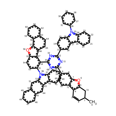 CC1C=Cc2c(oc3cc(-c4nc(-c5ccc6c(c5)c5ccccc5n6-c5ccccc5)nc(-c5c(-n6c7ccccc7c7cc8ccccc8cc76)ccc6oc7c8ccccc8ccc7c56)n4)ccc23)C1